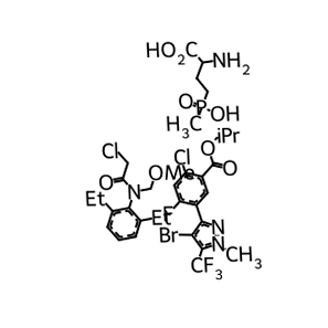 CC(C)OC(=O)c1cc(-c2nn(C)c(C(F)(F)F)c2Br)c(F)cc1Cl.CCc1cccc(CC)c1N(COC)C(=O)CCl.CP(=O)(O)CCC(N)C(=O)O